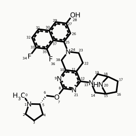 CN1CCC[C@H]1COc1nc2c(c(N3CC4CCC(C3)N4)n1)CCN(c1cc(O)cc3ccc(F)c(F)c13)C2